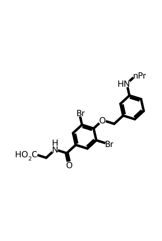 CCCNc1cccc(COc2c(Br)cc(C(=O)NCC(=O)O)cc2Br)c1